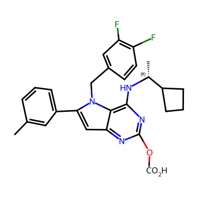 Cc1cccc(-c2cc3nc(OC(=O)O)nc(N[C@H](C)C4CCC4)c3n2Cc2ccc(F)c(F)c2)c1